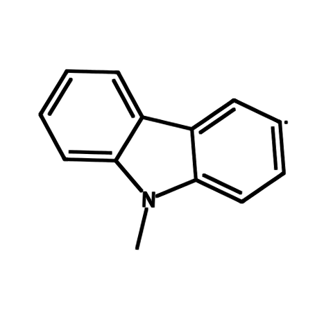 Cn1c2cc[c]cc2c2ccccc21